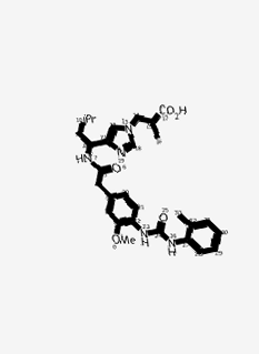 COc1cc(CC(=O)NC(CC(C)C)c2cn(CC(C)C(=O)O)cn2)ccc1NC(=O)Nc1ccccc1C